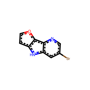 Brc1cnc2c(c1)[nH]c1ccoc12